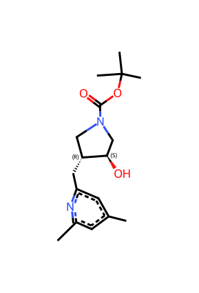 Cc1cc(C)nc(C[C@@H]2CN(C(=O)OC(C)(C)C)C[C@H]2O)c1